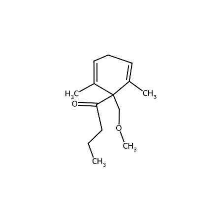 CCCC(=O)C1(COC)C(C)=CCC=C1C